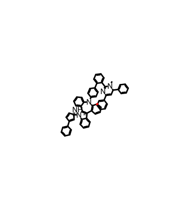 CN1C(c2ccccc2-c2ccc(N3C4=C(C=CCC4)c4c(n([C@@]5(N)C=CC(c6ccccc6)=C5)c5ccccc45)-c4ccccc43)cc2)=NC(c2ccccc2)=CC1c1ccccc1